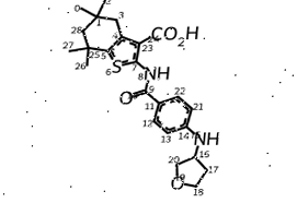 CC1(C)Cc2c(sc(NC(=O)c3ccc(NC4CCOC4)cc3)c2C(=O)O)C(C)(C)C1